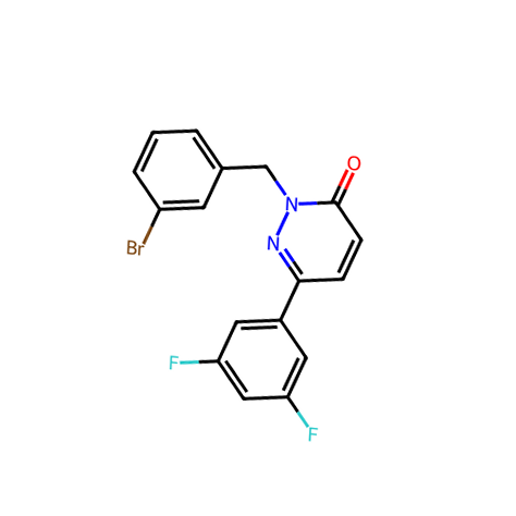 O=c1ccc(-c2cc(F)cc(F)c2)nn1Cc1cccc(Br)c1